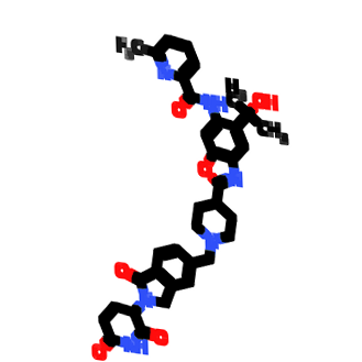 CC(C)(O)c1cc2nc(C3CCN(Cc4ccc5c(c4)CN(C4CCC(=O)NC4=O)C5=O)CC3)oc2cc1NC(=O)c1cccc(C(F)(F)F)n1